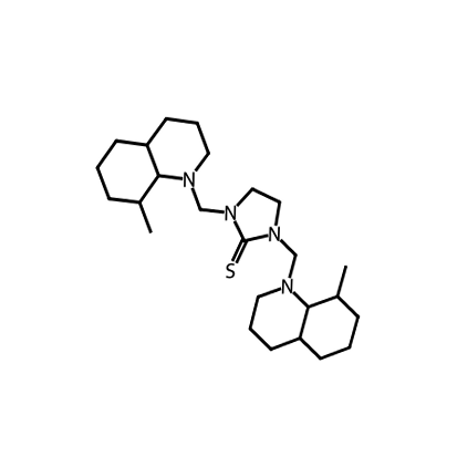 CC1CCCC2CCCN(CN3CCN(CN4CCCC5CCCC(C)C54)C3=S)C12